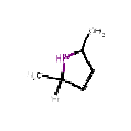 CCC1(C)CCC(C)P1